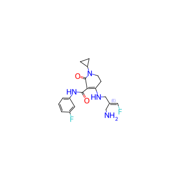 NC/C(=C\F)CNC1=C(C(=O)Nc2cccc(F)c2)C(=O)N(C2CC2)CC1